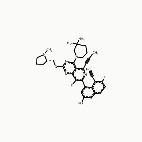 C#Cc1c(F)ccc2cc(O)cc(-c3nc(C#CC)c4c(N5CCCC(C)(N)C5)nc(OC[C@@H]5CCCN5C)nc4c3F)c12